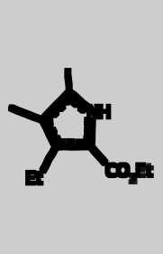 CCOC(=O)c1[nH]c(C)c(C)c1CC